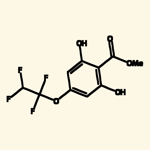 COC(=O)c1c(O)cc(OC(F)(F)C(F)F)cc1O